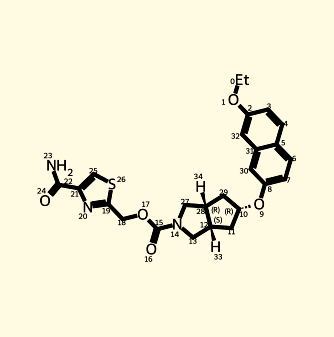 CCOc1ccc2ccc(O[C@@H]3C[C@@H]4CN(C(=O)OCc5nc(C(N)=O)cs5)C[C@@H]4C3)cc2c1